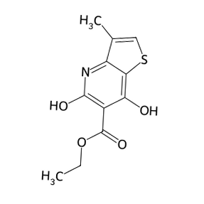 CCOC(=O)c1c(O)nc2c(C)csc2c1O